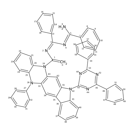 C=C(/N=C(\N=C(/N)c1ccccc1)c1ccccc1)N1c2ccccc2N(c2ccccc2)c2cc3c4ccccc4n(-c4nc(-c5ccccc5)nc(-c5ccccc5)n4)c3cc21